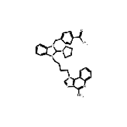 NC(=O)c1ccc(CN2c3ccccc3N(CCCCn3cnc4c(N)nc5ccccc5c43)C2N2CCCC2)cc1